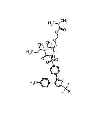 CC[C@@H](C)[C@@H](C(=O)NS(=O)(=O)c1ccc(-n2nc(C(F)(F)F)cc2-c2ccc(C)cc2)cc1)N(C)/[N+]([O-])=N\OCOC(=O)C(C)C